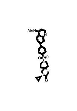 CNc1ccnc2cc(-c3ccc(S(=O)(=O)N4CCC5(CC4)CN(C4CC4)C(=O)CO5)cc3)ccc12